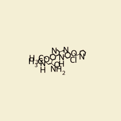 CCOc1cc2ncc(C#N)c(Nc3ccc(OCc4ccccn4)c(Cl)c3)c2cc1/C(=C\CNC)C(N)=O